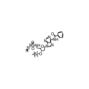 CC(C)(C)[Si](C)(C)O[C@H]1C[C@H](n2cnc3c(NC(=O)c4ccccc4)ncnc32)OC1CNS(=O)(=O)N=[N+]=[N-]